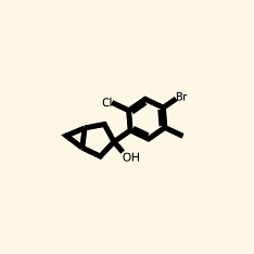 Cc1cc(C2(O)CC3CC3C2)c(Cl)cc1Br